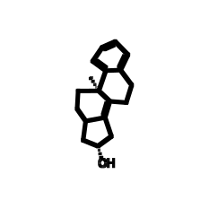 C[C@@]12CCC3C[C@@H](O)CC3=C1CCc1ccccc12